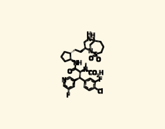 CN(C(=O)O)[C@H](C(=O)N[C@H]1CCC[C@@H]1CC[C@H]1CN[C@@H]2CCCS(=O)(=O)N1C2)[C@H](c1cncc(F)c1)c1ccc(Cl)c(F)c1